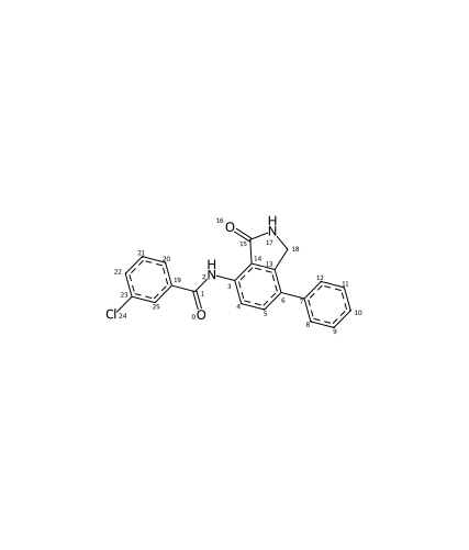 O=C(Nc1ccc(-c2ccccc2)c2c1C(=O)NC2)c1cccc(Cl)c1